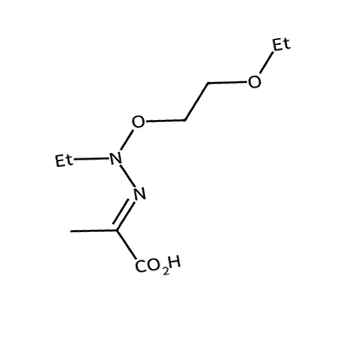 CCOCCON(CC)N=C(C)C(=O)O